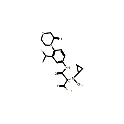 CN(C1CC1)[C@H](C(N)=O)C(=O)Nc1ccc(N2CCOCC2=O)c(C(F)F)c1